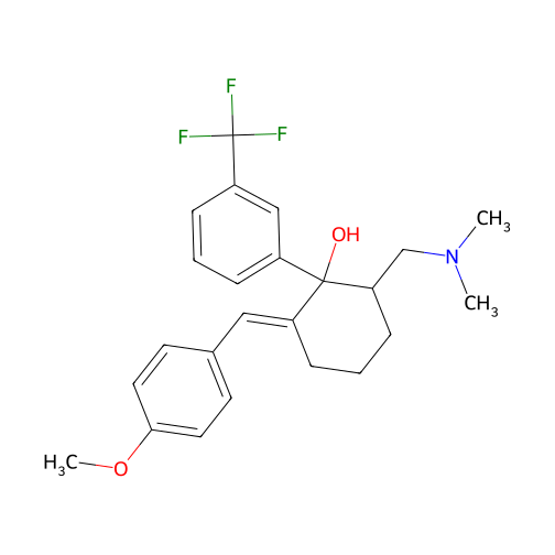 COc1ccc(C=C2CCCC(CN(C)C)C2(O)c2cccc(C(F)(F)F)c2)cc1